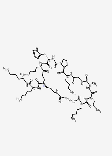 CN[C@@H](CCCCN)C(=O)N[C@@H](CCN)C(=O)N[C@@H](C)C(=O)NCC(=O)N[C@H](CCCN)C(=O)N1CCC[C@H]1C(=O)N[C@@H](Cc1cnc[nH]1)C(=O)N[C@@H](CCCCN)C(=O)CC/C(=C\CCNC(=N)N)C(=O)N[C@@H](CCCCN)C(=O)NCCCCN